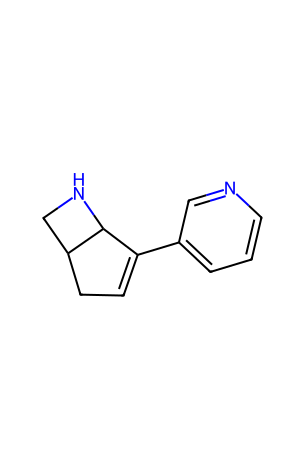 C1=C(c2cccnc2)C2NCC2C1